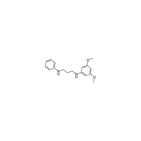 COc1cc(NCCCNc2ccccc2)cc(OC)c1